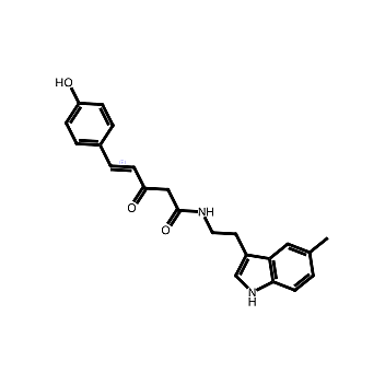 Cc1ccc2[nH]cc(CCNC(=O)CC(=O)/C=C/c3ccc(O)cc3)c2c1